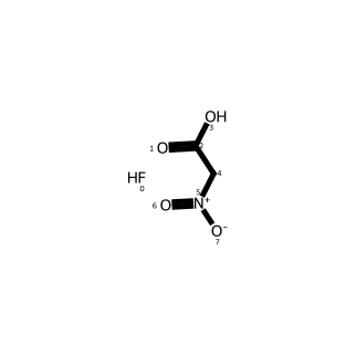 F.O=C(O)C[N+](=O)[O-]